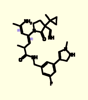 C/C(N)=C/C(=C\C(C)C(=O)NCc1cc(F)cc(C2=CN(C)NC2)c1)N1CCC(C=N)(C2(C)CC2)C1=O